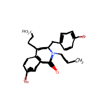 CC=Cn1c(Cc2ccc(Br)cc2)c(CCC(=O)O)c2ccc(Br)cc2c1=O